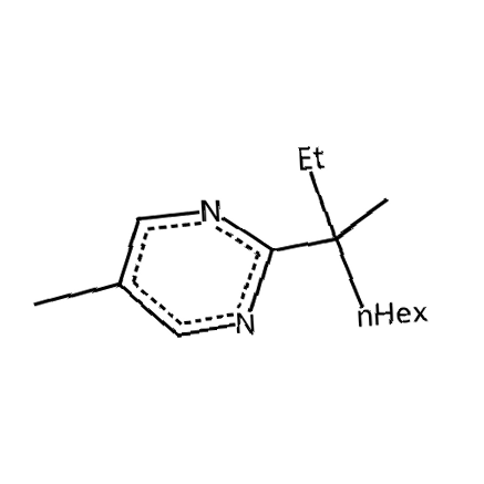 CCCCCCC(C)(CC)c1ncc(C)cn1